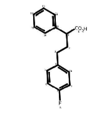 O=C(O)C(CCc1ccc(F)cc1)c1ccccc1